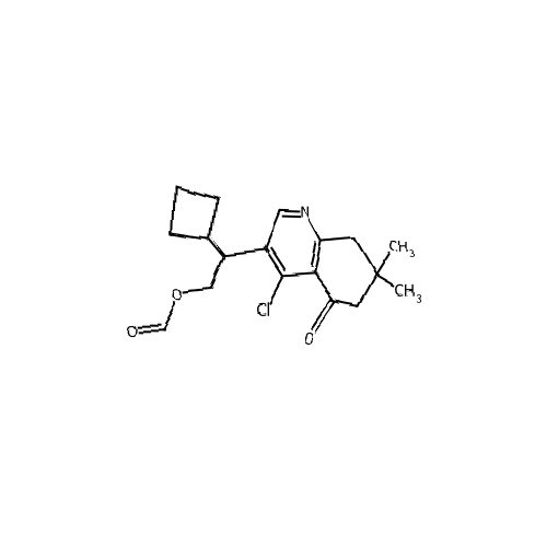 CC1(C)CC(=O)c2c(ncc(C(COC=O)C3CCC3)c2Cl)C1